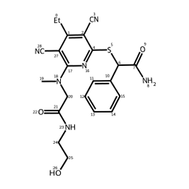 CCc1c(C#N)c(SC(C(N)=O)c2ccccc2)nc(N(C)CC(=O)NCCO)c1C#N